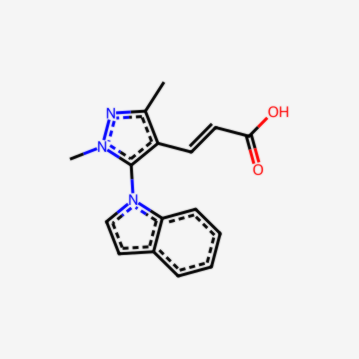 Cc1nn(C)c(-n2ccc3ccccc32)c1C=CC(=O)O